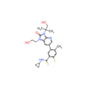 Cc1cc(F)c(C(=S)NC2CC2)cc1-c1cnc2c(c1)n(CCO)c(=O)n2C(C)(C)CO